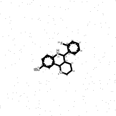 CC(C)(C)c1ccc2c(c1)C1OCCCC1C(c1ccccc1F)N2